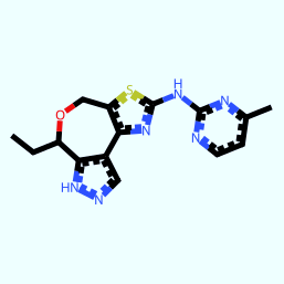 CCC1OCc2sc(Nc3nccc(C)n3)nc2-c2cn[nH]c21